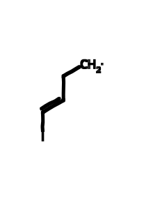 [CH2]C/C=C/I